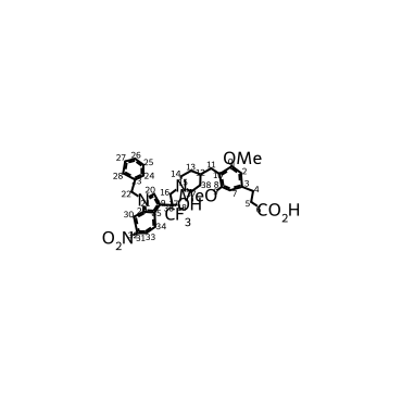 COc1cc(CCC(=O)O)cc(OC)c1CC1CCN(CC(O)(c2cn(Cc3ccccc3)c3cc([N+](=O)[O-])ccc23)C(F)(F)F)CC1